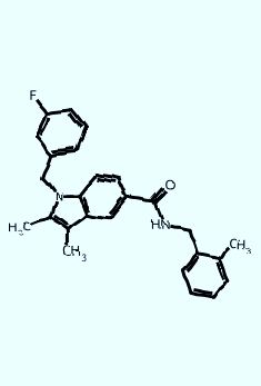 Cc1ccccc1CNC(=O)c1ccc2c(c1)c(C)c(C)n2Cc1cccc(F)c1